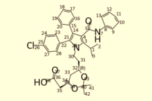 CC(C)c1c(C(=O)Nc2ccccc2)c(-c2ccccc2)c(-c2ccc(Cl)cc2)n1CC[C@@H]1C[C@H](CC(=O)O)OC(C)(C)O1